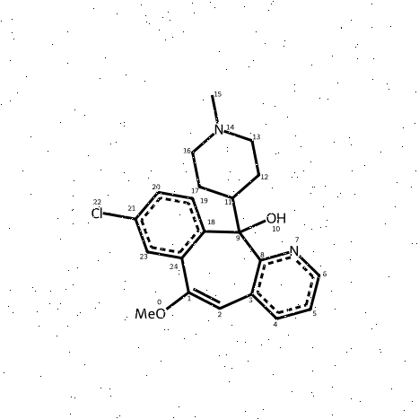 COC1=Cc2cccnc2C(O)(C2CCN(C)CC2)c2ccc(Cl)cc21